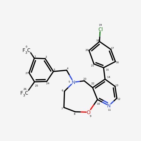 FC(F)(F)c1cc(CN2CCCOc3nccc(-c4ccc(Cl)cc4)c3C2)cc(C(F)(F)F)c1